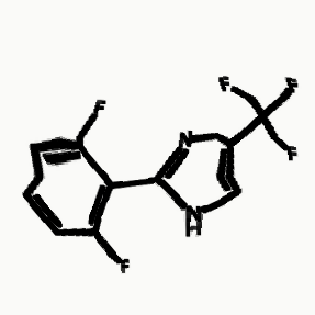 Fc1cccc(F)c1-c1nc(C(F)(F)F)c[nH]1